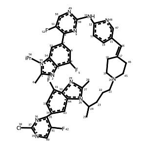 Cc1nc2c(F)cc(-c3nc(Nc4ccc(C=C5CCN(CCCC(C)n6c(C)nc7c(F)cc(-c8nc(Cl)ncc8F)cc76)CC5)cn4)ncc3F)cc2n1C(C)C